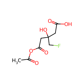 CC(=O)OC(=O)CC(O)(CF)CC(=O)O